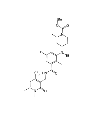 CCN(c1cc(F)cc(C(=O)NCc2c(C(F)(F)F)cc(C)n(C)c2=O)c1C)C1CCN(C(=O)OC(C)(C)C)C(C)C1